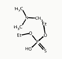 CCOP(O)(=S)OCC.CN(C)C